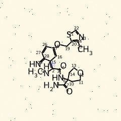 CN/C(C(=O)NC1(C(N)=O)CCOCC1)=C1/C=C(OCc2scnc2C)C=CC1=N